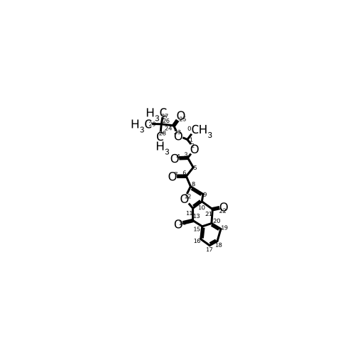 CC(OC(=O)CC(=O)c1cc2c(o1)C(=O)c1ccccc1C2=O)OC(=O)C(C)(C)C